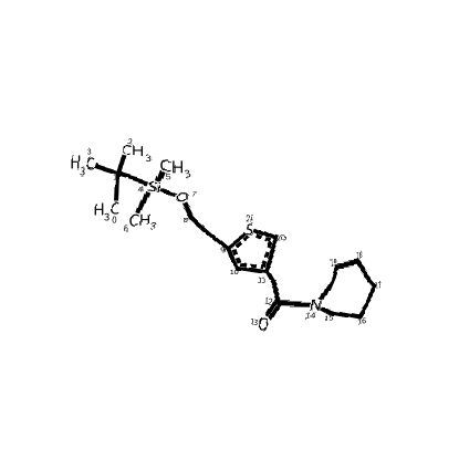 CC(C)(C)[Si](C)(C)OCc1cc(C(=O)N2CCCCC2)cs1